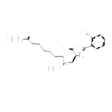 CN(C=C1N=C(c2ccccc2Cl)OC1=O)CCCCCCC(N)=O